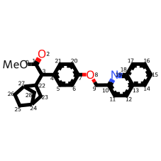 COC(=O)C(c1ccc(OCc2ccc3ccccc3n2)cc1)C1CC2CCC1C2